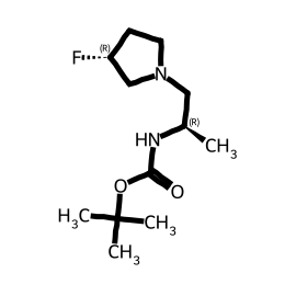 C[C@H](CN1CC[C@@H](F)C1)NC(=O)OC(C)(C)C